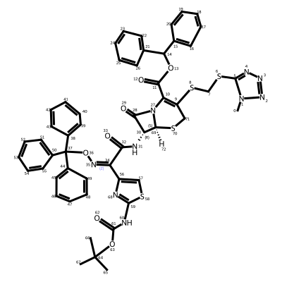 Cn1nnnc1SCSC1=C(C(=O)OC(c2ccccc2)c2ccccc2)N2C(=O)[C@@H](NC(=O)/C(=N\OC(c3ccccc3)(c3ccccc3)c3ccccc3)c3csc(NC(=O)OC(C)(C)C)n3)[C@@H]2SC1